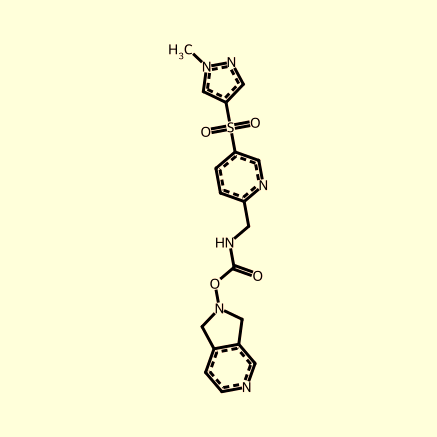 Cn1cc(S(=O)(=O)c2ccc(CNC(=O)ON3Cc4ccncc4C3)nc2)cn1